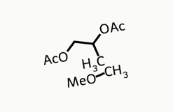 CC(=O)OCC(C)OC(C)=O.COC